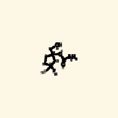 NC(=O)OC1(CO)CCC(F)(F)C1